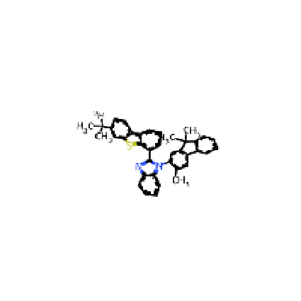 [2H]C(C)(C)c1ccc2c(c1)sc1c(-c3nc4ccccc4n3-c3cc4c(cc3C)-c3ccccc3C4(C)C)cccc12